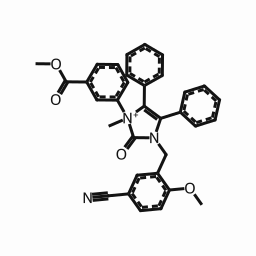 COC(=O)c1cccc([N+]2(C)C(=O)N(Cc3cc(C#N)ccc3OC)C(c3ccccc3)=C2c2ccccc2)c1